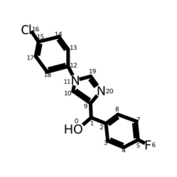 OC(c1ccc(F)cc1)c1cn(-c2ccc(Cl)cc2)cn1